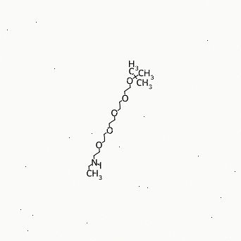 CCN(I)CCOCCOCCOCCOCCOC(C)(C)C